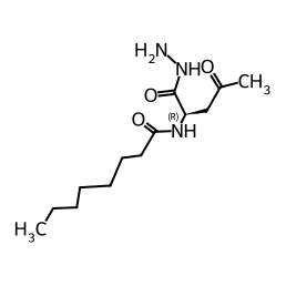 CCCCCCCC(=O)N[C@H](CC(C)=O)C(=O)NN